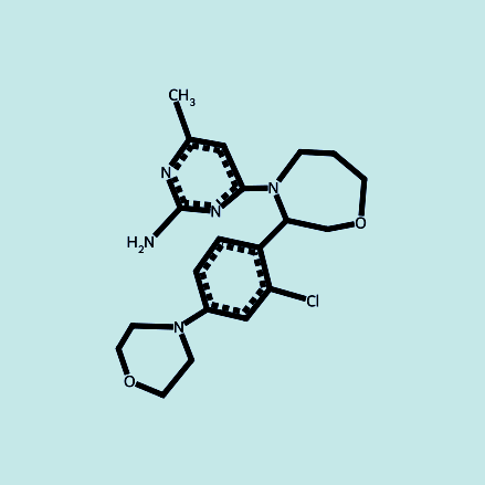 Cc1cc(N2CCCOCC2c2ccc(N3CCOCC3)cc2Cl)nc(N)n1